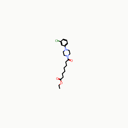 CCOC(=O)CCCCCCC(=O)N1CCN(c2cccc(Cl)c2)CC1